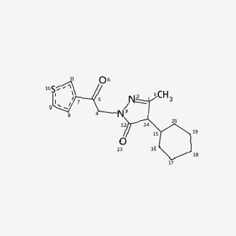 CC1=NN(CC(=O)c2ccsc2)C(=O)C1C1CCCCC1